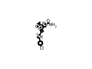 CS(=O)(=O)C1(c2nn(C(N)=O)cc2C23CC(c4nc(-c5ccc(Cl)cc5)cs4)(C2)C3)CC1